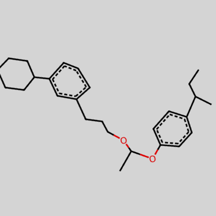 CCC(C)c1ccc(OC(C)OCCCc2cccc(C3CCCCC3)c2)cc1